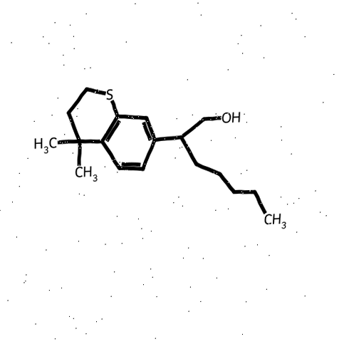 CCCCCC(CO)c1ccc2c(c1)SCCC2(C)C